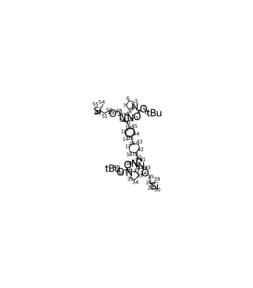 CC(C)(C)OC(=O)N1CCC[C@H]1c1nc(-c2ccc(C3CCC(c4cn(COCC[Si](C)(C)C)c([C@@H]5CCCN5C(=O)OC(C)(C)C)n4)CC3)cc2)cn1COCC[Si](C)(C)C